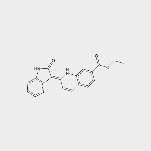 CCOC(=O)c1ccc2c(c1)NC(=C1C(=O)Nc3ccccc31)C=C2